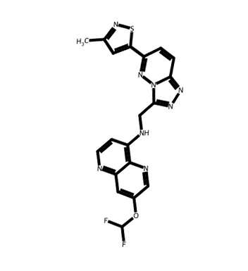 Cc1cc(-c2ccc3nnc(CNc4ccnc5cc(OC(F)F)cnc45)n3n2)sn1